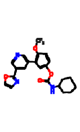 O=C(NC1CCCCC1)Oc1ccc(OC(F)(F)F)c(-c2cncc(-c3ncco3)c2)c1